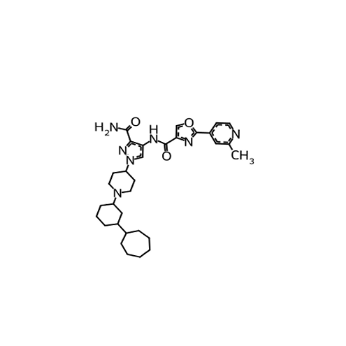 Cc1cc(-c2nc(C(=O)Nc3cn(C4CCN(C5CCCC(C6CCCCCC6)C5)CC4)nc3C(N)=O)co2)ccn1